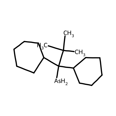 CC(C)(C)C([AsH2])(C1CCCCC1)C1CCCCC1